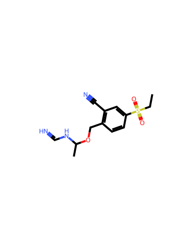 CCS(=O)(=O)c1ccc(COC(C)NC=N)c(C#N)c1